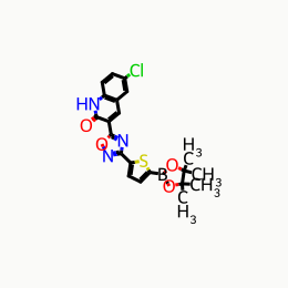 CC1(C)OB(c2ccc(-c3noc(-c4cc5cc(Cl)ccc5[nH]c4=O)n3)s2)OC1(C)C